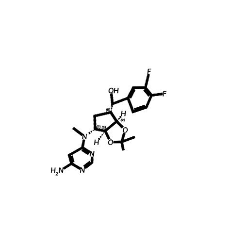 CN(c1cc(N)ncn1)[C@@H]1C[C@H](C(O)c2ccc(F)c(F)c2)[C@H]2OC(C)(C)O[C@H]21